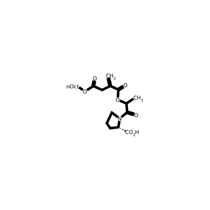 C=C(CC(=O)OCCCCCCCC)C(=O)OC(C)C(=O)N1CCC[C@H]1C(=O)O